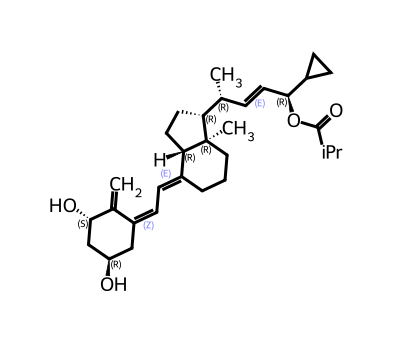 C=C1/C(=C\C=C2/CCC[C@]3(C)[C@@H]([C@H](C)/C=C/[C@H](OC(=O)C(C)C)C4CC4)CC[C@@H]23)C[C@@H](O)C[C@@H]1O